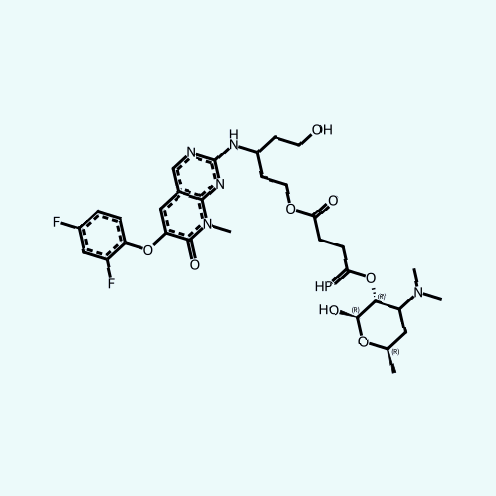 C[C@@H]1CC(N(C)C)[C@@H](OC(=P)CCC(=O)OCCC(CCO)Nc2ncc3cc(Oc4ccc(F)cc4F)c(=O)n(C)c3n2)[C@H](O)O1